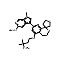 COC(C)(C)CCOc1cc(-c2cn(C)c3cnc(NC(C)=O)cc23)nc2c1CCOC21CCOC1